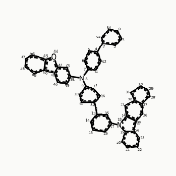 c1ccc(-c2ccc(N(c3ccc(-c4cccc(-n5c6ccccc6c6cc7ccccc7cc65)c4)cc3)c3ccc4c(c3)oc3ccccc34)cc2)cc1